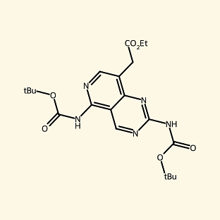 CCOC(=O)Cc1cnc(NC(=O)OC(C)(C)C)c2cnc(NC(=O)OC(C)(C)C)nc12